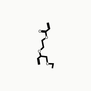 C=CC(=O)OCCOC(C=C)COCC